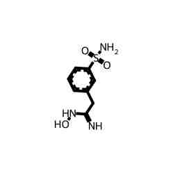 N=C(Cc1cccc(S(N)(=O)=O)c1)NO